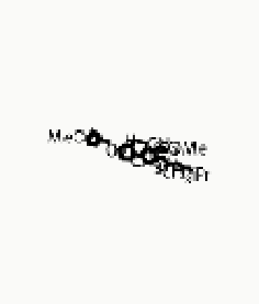 COc1ccc(CO[C@H]2CC[C@]3(C)C4=C(CC[C@H]3C2)[C@]2(C)OC(OC)[C@H]([C@H](C)CCCC(C)C)[C@@]2(C)CC4)cc1